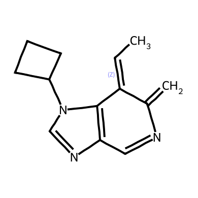 C=c1ncc2ncn(C3CCC3)c2/c1=C/C